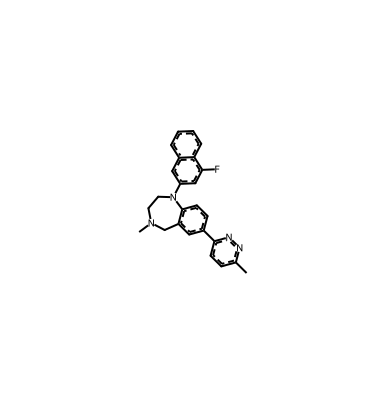 Cc1ccc(-c2ccc3c(c2)CN(C)CCN3c2cc(F)c3ccccc3c2)nn1